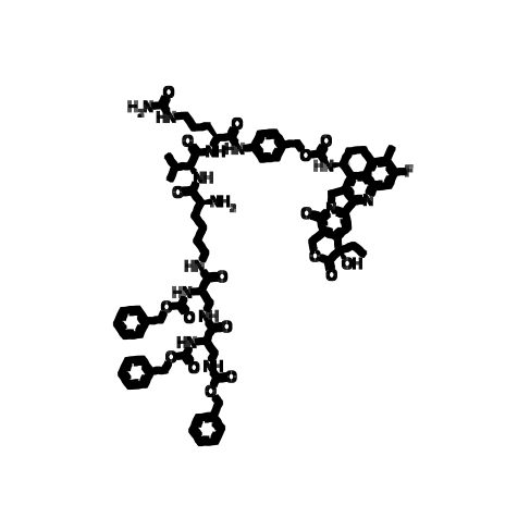 CC[C@@]1(O)C(=O)OCc2c1cc1n(c2=O)Cc2c-1nc1cc(F)c(C)c3c1c2[C@@H](NC(=O)OCc1ccc(NC(=O)[C@H](CCCNC(N)=O)NC(=O)[C@@H](NC(=O)[C@@H](N)CCCCNC(=O)C(CNC(=O)C(CNC(=O)OCc2ccccc2)NC(=O)OCc2ccccc2)NC(=O)OCc2ccccc2)C(C)C)cc1)CC3